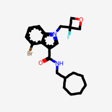 O=C(NCC1CCCCCC1)c1cn(CC2(F)COC2)c2cccc(Br)c12